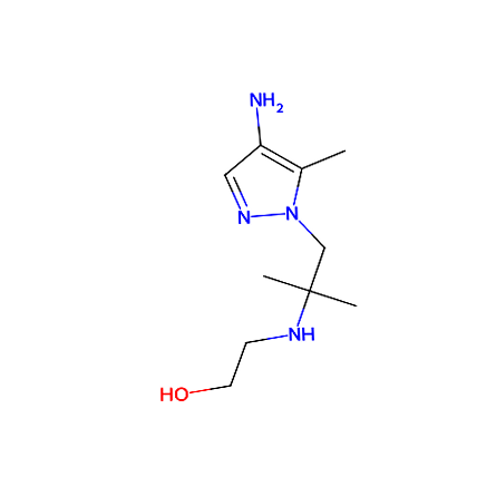 Cc1c(N)cnn1CC(C)(C)NCCO